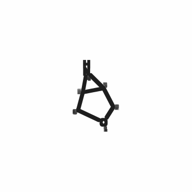 C1OCC2NC12